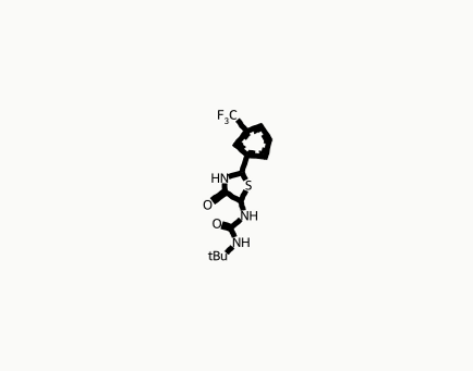 CC(C)(C)NC(=O)NC1SC(c2cccc(C(F)(F)F)c2)NC1=O